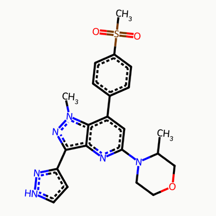 CC1COCCN1c1cc(-c2ccc(S(C)(=O)=O)cc2)c2c(n1)c(-c1cc[nH]n1)nn2C